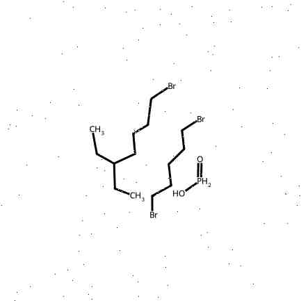 BrCCCCCBr.CCC(CC)CCCCBr.O=[PH2]O